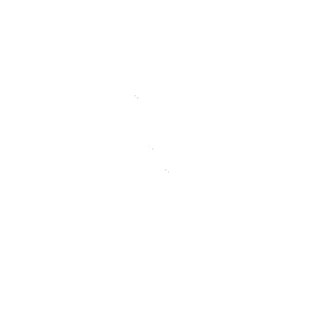 Cc1occc1CN1C=CN(C2CCNCC2)C1